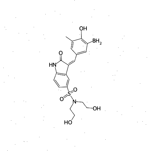 Bc1cc(/C=C2\C(=O)Nc3ccc(S(=O)(=O)N(CCO)CCO)cc32)cc(C)c1O